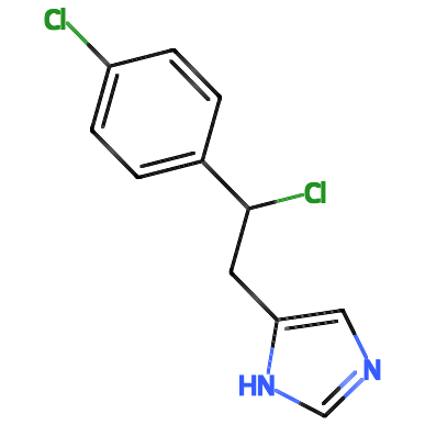 Clc1ccc(C(Cl)Cc2cnc[nH]2)cc1